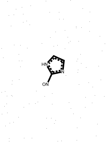 O=Nc1ncc[nH]1